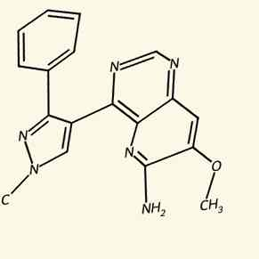 COc1cc2ncnc(-c3cn(C)nc3-c3ccccc3)c2nc1N